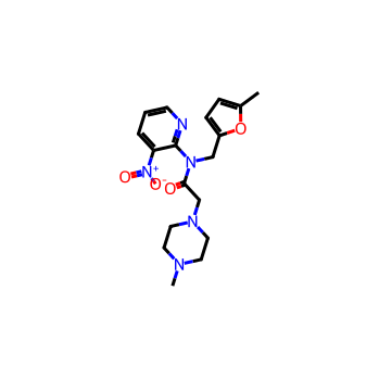 Cc1ccc(CN(C(=O)CN2CCN(C)CC2)c2ncccc2[N+](=O)[O-])o1